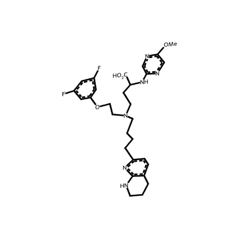 COc1cnc(NC(CCN(CCCCc2ccc3c(n2)NCCC3)CCOc2cc(F)cc(F)c2)C(=O)O)cn1